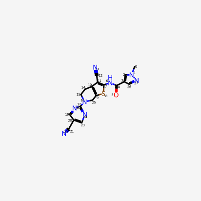 Cn1cc(C(=O)Nc2sc3c(c2C#N)CCN(c2ncc(C#N)cn2)C3)cn1